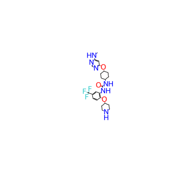 CNc1cc(O[C@H]2CC[C@H](NC(=O)Nc3cc(C(F)(F)F)ccc3OC3CCNCC3)CC2)ncn1